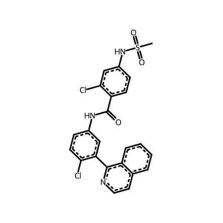 CS(=O)(=O)Nc1ccc(C(=O)Nc2ccc(Cl)c(-c3nccc4ccccc34)c2)c(Cl)c1